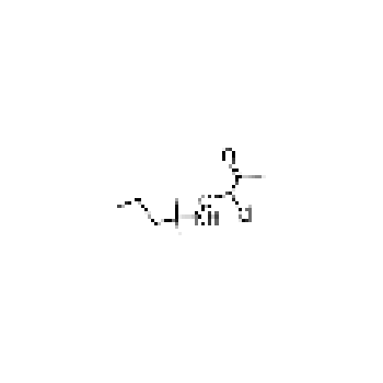 CCCC(C)(C)NOC(Cl)C(C)=O